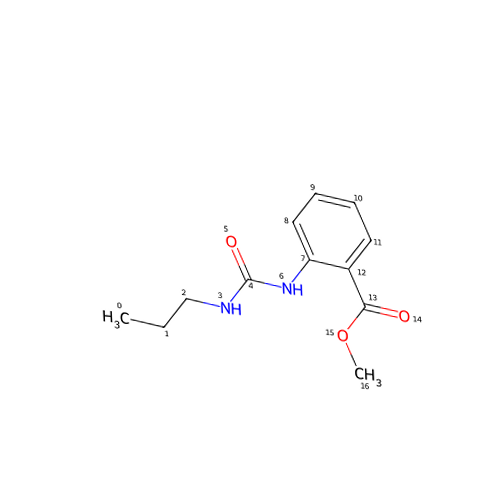 CCCNC(=O)Nc1ccccc1C(=O)OC